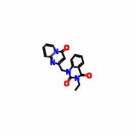 CCn1c(=O)c2ccccc2n(Cc2cc(=O)n3ccccc3n2)c1=O